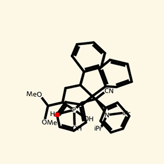 COC(OC)C(CC(c1ccccc1)C(c1ccccc1)(c1ccccc1)c1ccccc1)P(O)(O)(O)CC(C#N)N(C(C)C)C(C)C